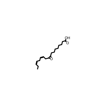 CC/C=C\C/C=C\CC1OC1CCCCCCCC(=O)O